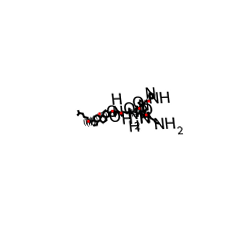 CC(C)CCC[C@@H](C)[C@H]1CCC2C3CC=C4CC(OC(=O)NCCCC(=O)N[C@H]5CC(C(=O)NCCc6cnc[nH]6)N(C(=O)[C@H](N)CCCCN)C5)CC[C@]4(C)C3CC[C@@]21C